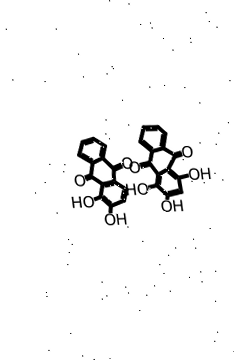 O=C1c2ccccc2C(=O)c2c(O)c(O)cc(O)c21.O=C1c2ccccc2C(=O)c2c1ccc(O)c2O